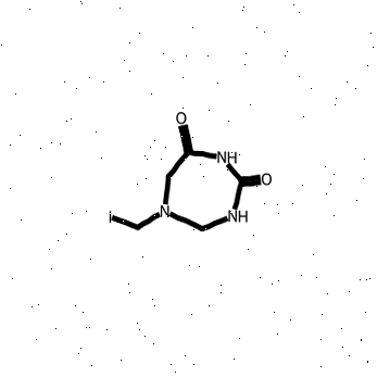 O=C1CN(CI)CNC(=O)N1